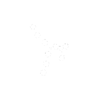 c1ccc(-c2ccc(-c3ccc(N(c4ccc(-c5ccc6c(c5)C5(CCCC5)c5ccccc5-6)cc4)c4ccc5c6ccccc6n(-c6ccccc6)c5c4)cc3)cc2)cc1